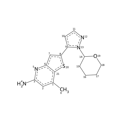 Cc1cc(N)nc2cc(-c3ccnn3C3CCCCO3)sc12